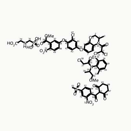 CC1COc2ccccc2N1C(=O)C(Cl)Cl.CCc1cccc(C)c1N(C(=O)CCl)C(C)COC.COC(=O)c1cc(Oc2ccc(Cl)cc2Cl)ccc1[N+](=O)[O-].CS(=O)(=O)c1ccc(C(=O)C2C(=O)CCCC2=O)c([N+](=O)[O-])c1.O=C(O)CNCP(=O)(O)O